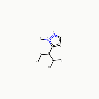 CCC(c1ccnn1C)C(C)C